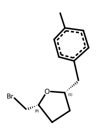 Cc1ccc(C[C@@H]2CC[C@H](CBr)O2)cc1